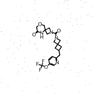 O=C1COCC2(CN(C(=O)N3CC4(CC(Cc5ccc(OC(F)(F)F)cn5)C4)C3)C2)N1